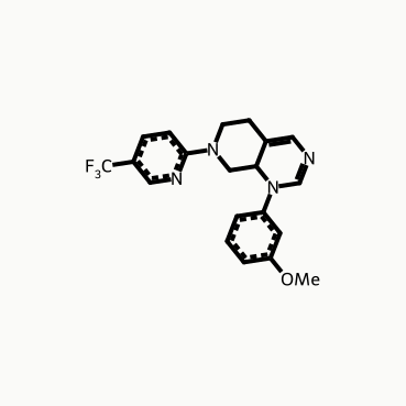 COc1cccc(N2C=NC=C3CCN(c4ccc(C(F)(F)F)cn4)CC32)c1